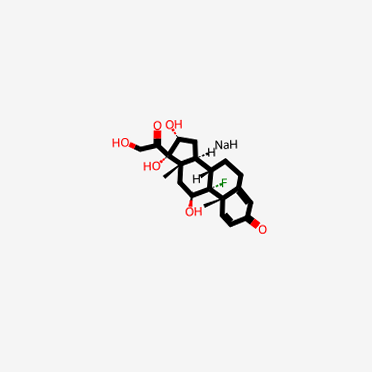 C[C@]12C=CC(=O)C=C1CC[C@H]1[C@@H]3C[C@@H](O)[C@](O)(C(=O)CO)[C@@]3(C)C[C@H](O)[C@@]12F.[NaH]